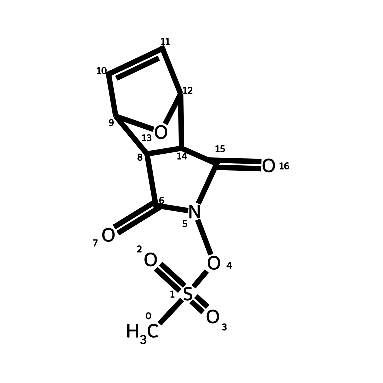 CS(=O)(=O)ON1C(=O)C2C3C=CC(O3)C2C1=O